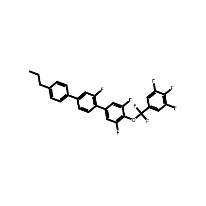 CCCc1ccc(-c2ccc(-c3cc(F)c(OC(F)(F)c4cc(F)c(F)c(F)c4)c(F)c3)c(F)c2)cc1